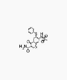 CS(=O)(=O)Nc1cc2scc(C(N)=O)c(=O)c2cc1Sc1ccccc1